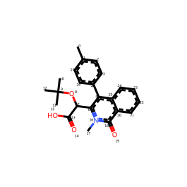 Cc1ccc(-c2c(C(OC(C)(C)C)C(=O)O)n(C)c(=O)c3ccccc23)cc1